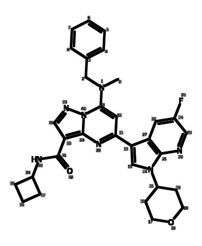 CN(Cc1ccccc1)c1cc(-c2cn(C3CCOCC3)c3ncc(F)cc23)nc2c(C(=O)NC3CCC3)cnn12